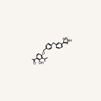 CC(=O)c1ccc(OCc2ccc(Cc3cccc(-c4nn[nH]n4)c3)cc2)c(C(C)C)c1O